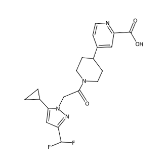 O=C(O)c1cc(C2CCN(C(=O)Cn3nc(C(F)F)cc3C3CC3)CC2)ccn1